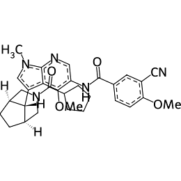 COc1ccc(C(=O)Nc2cnc3c(c([C@@H]4[C@@H]5CC[C@H]4CN(C(=O)C4CCCC4)C5)cn3C)c2OC)cc1C#N